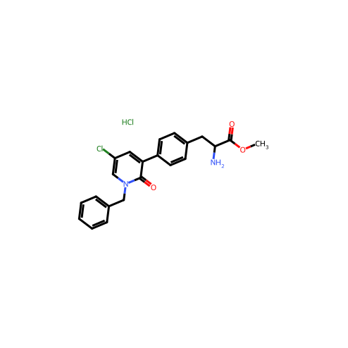 COC(=O)C(N)Cc1ccc(-c2cc(Cl)cn(Cc3ccccc3)c2=O)cc1.Cl